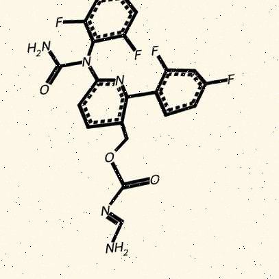 N/C=N/C(=O)OCc1ccc(N(C(N)=O)c2c(F)cccc2F)nc1-c1ccc(F)cc1F